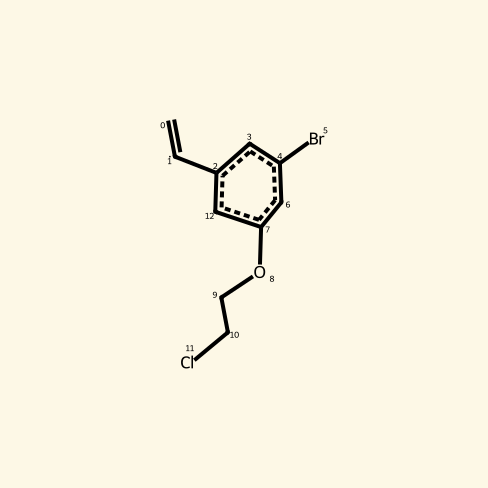 C=[C]c1cc(Br)cc(OCCCl)c1